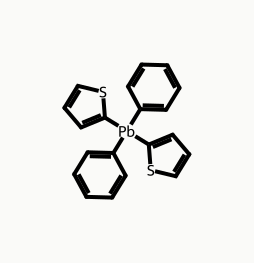 c1cc[c]([Pb]([c]2ccccc2)([c]2cccs2)[c]2cccs2)cc1